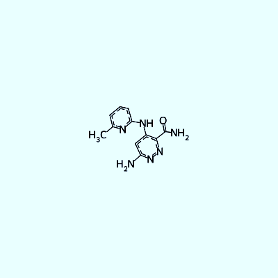 Cc1cccc(Nc2cc(N)nnc2C(N)=O)n1